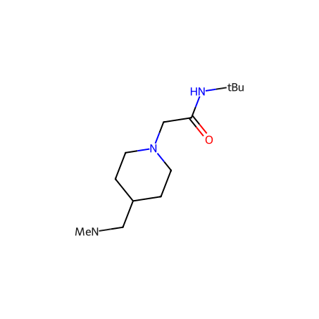 CNCC1CCN(CC(=O)NC(C)(C)C)CC1